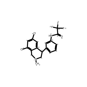 CN1Cc2c(Cl)cc(Cl)cc2C(c2cccc(NC(=O)C(F)(F)F)c2)C1